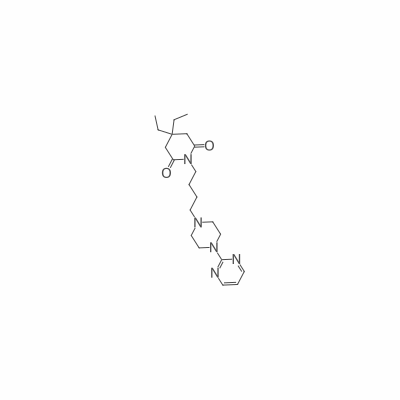 CCC1(CC)CC(=O)N(CCCCN2CCN(c3ncccn3)CC2)C(=O)C1